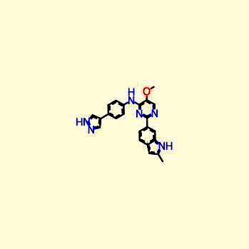 COc1cnc(-c2ccc3cc(C)[nH]c3c2)nc1Nc1ccc(-c2cn[nH]c2)cc1